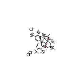 CC1=C(C)[C]([Ti+3])([Si](c2ccc([Si](C)(C)C)c([Si](C)(C)C)c2[Si](C)(C)C)(c2ccc([Si](C)(C)C)c([Si](C)(C)C)c2[Si](C)(C)C)c2ccc([Si](C)(C)C)c([Si](C)(C)C)c2[Si](C)(C)C)C(C)=C1C.[Cl-].[Cl-].[Cl-]